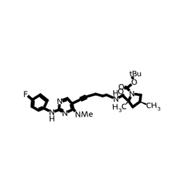 CNc1nc(Nc2ccc(F)cc2)ncc1C#CCCCNC(=O)[C@]1(C)C[C@H](C)CN1C(=O)OC(C)(C)C